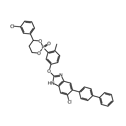 Cc1ccc(Oc2nc3cc(-c4ccc(-c5ccccc5)cc4)c(Cl)cc3[nH]2)cc1P1(=O)OCCC(c2cccc(Cl)c2)O1